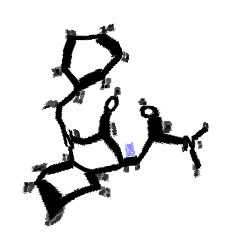 CN(C)C(=O)/C=C1\C(=O)N(Cc2ccccc2)c2ccccc21